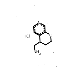 Cl.NCC1CCOc2cnccc21